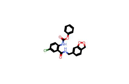 O=C(Nc1ccc(Cl)cc1C(=O)NCc1ccc2c(c1)OOC2)Oc1ccccc1